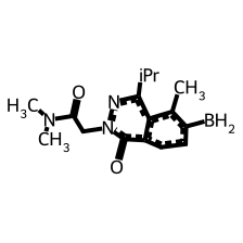 Bc1ccc2c(=O)n(CC(=O)N(C)C)nc(C(C)C)c2c1C